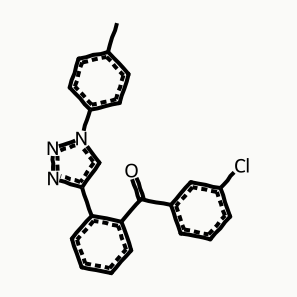 Cc1ccc(-n2cc(-c3ccccc3C(=O)c3cccc(Cl)c3)nn2)cc1